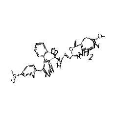 C=C(OC(/C=C/NC(=O)c1nnc(-c2ccc([S+](C)[O-])cn2)n1-c1ccccc1Cl)=N\N)c1ccnc(OC)c1